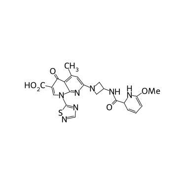 COC1=CC=CC(C(=O)NC2CN(c3cc(C)c4c(=O)c(C(=O)O)cn(-c5ncns5)c4n3)C2)N1